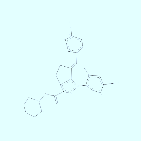 O=C(NN1CCCCC1)c1nn(-c2ccc(Cl)cc2Cl)c2c1CCC2=Cc1ccc(F)cc1